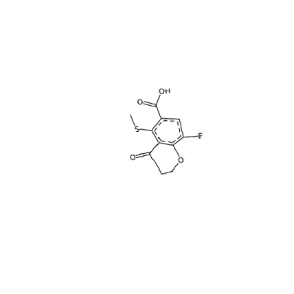 CSc1c(C(=O)O)cc(F)c2c1C(=O)CCO2